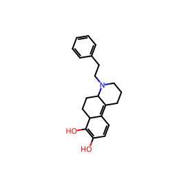 OC1=C(O)C2CCC3C(=C2C=C1)CCCN3CCc1ccccc1